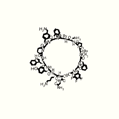 CCCC[C@H]1C(=O)N2CCC[C@@H]2C(=O)N[C@@H](CN)C(=O)N[C@@H](C(C)C)C(=O)N(C)[C@@H](Cc2ccccc2)C(=O)N[C@@H](Cc2ccc(CN)cc2)C(=O)N2CCCC[C@@H]2C(=O)NC[C@@H](Cc2c[nH]c3ccccc23)C(=O)N[C@@H](Cc2ccc(O)cc2)C(=O)N[C@@H](CCCCN)C(=O)N[C@H](C(=O)NCC(N)=O)CSCC(=O)N[C@@H](Cc2cc(F)c(F)c(F)c2)C(=O)N(C)[C@@H](Cc2ccccc2)C(=O)N1C